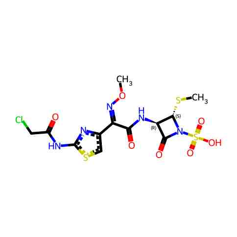 CON=C(C(=O)N[C@@H]1C(=O)N(S(=O)(=O)O)[C@H]1SC)c1csc(NC(=O)CCl)n1